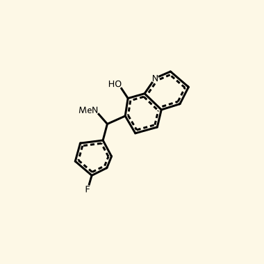 CNC(c1ccc(F)cc1)c1ccc2cccnc2c1O